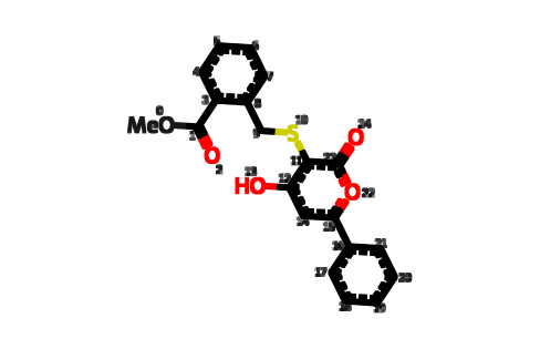 COC(=O)c1ccccc1CSc1c(O)cc(-c2ccccc2)oc1=O